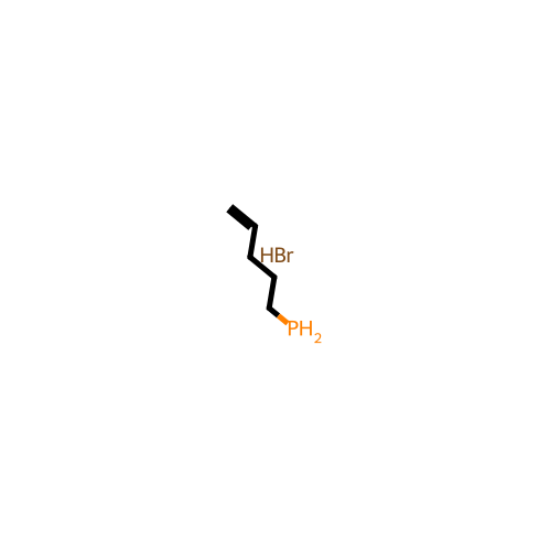 Br.C=CCCCP